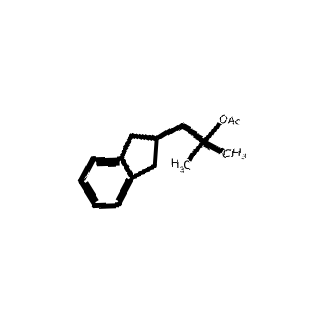 CC(=O)OC(C)(C)CC1Cc2ccccc2C1